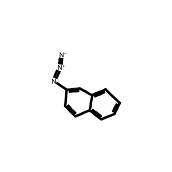 [N-]=[N+]=Nc1ccc2ccccc2c1